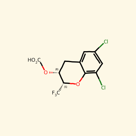 O=C(O)O[C@@H]1Cc2cc(Cl)cc(Cl)c2O[C@@H]1C(F)(F)F